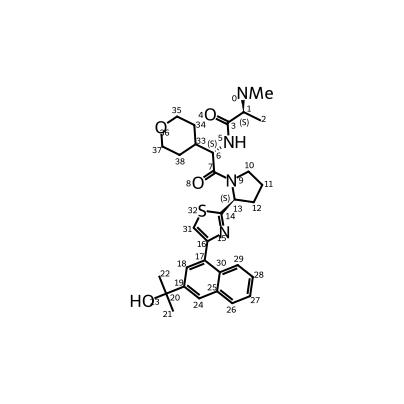 CN[C@@H](C)C(=O)N[C@H](C(=O)N1CCC[C@H]1c1nc(-c2cc(C(C)(C)O)cc3ccccc23)cs1)C1CCOCC1